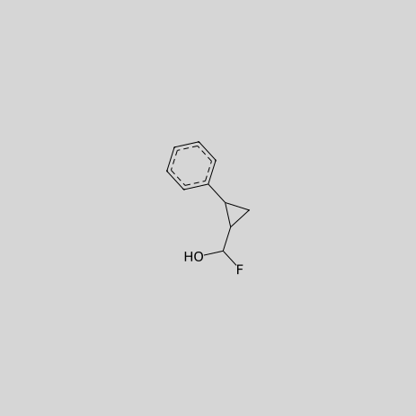 OC(F)C1CC1c1ccccc1